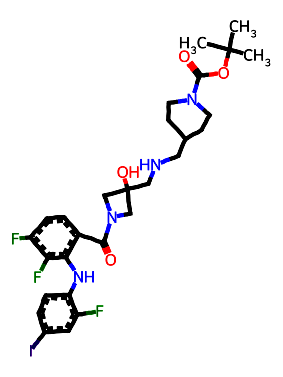 CC(C)(C)OC(=O)N1CCC(CNCC2(O)CN(C(=O)c3ccc(F)c(F)c3Nc3ccc(I)cc3F)C2)CC1